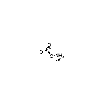 O=[N+]([O-])[O-].[La].[NH4+]